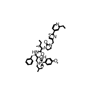 CCc1cc(-c2nc(CN3CCN([C@H](C(=O)N[C@@H](Cc4ccccc4)[C@H](O)CN(CC(C)C)S(=O)(=O)c4ccc(OC)cc4)[C@@H](C)CC)C3=O)cs2)ccn1